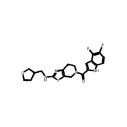 O=C(c1cc2c(F)c(F)ccc2[nH]1)N1CCc2nc(NCC3CCOC3)sc2C1